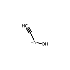 C#CNO